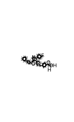 O=C(NO)c1ccc(CN2CCC(c3c(C(=O)N4CC[C@H](c5ccccc5)C4)cnn3-c3ccc(F)cc3)CC2)cc1